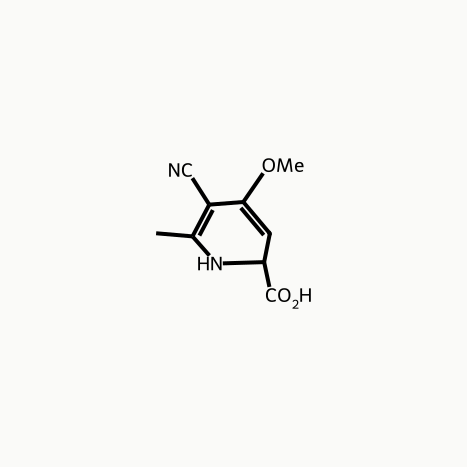 COC1=CC(C(=O)O)NC(C)=C1C#N